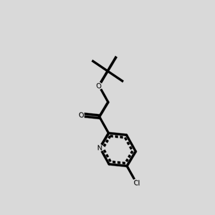 CC(C)(C)OCC(=O)c1ccc(Cl)cn1